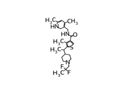 CC1=CC(C)=C(CNC(=O)c2csc(C(C)C3CCN(CC(C)(F)F)CC3)c2C)CN1